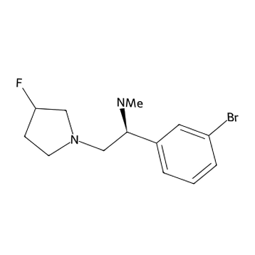 CN[C@H](CN1CCC(F)C1)c1cccc(Br)c1